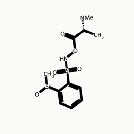 CN[C@H](C)C(=O)ONS(=O)(=O)c1ccccc1[S+](C)[O-]